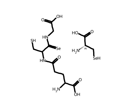 NC(CCC(=O)NC(CS)C(=[Se])NCC(=O)O)C(=O)O.N[C@@H](C[SeH])C(=O)O